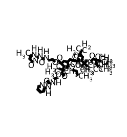 C=C(C)C(=O)CCC(CC)(COC(=O)C(C)(CC(C)(C)C)C(C)(C)C)C(C)OC(=O)C(C)(C)CC(CC(C)(CC(C)(CC)C(=O)OCCNC(=O)Nc1ccccn1)C(=O)OCCNC(=O)Nc1nc(=O)cc(C)[nH]1)C(=O)OCCCC